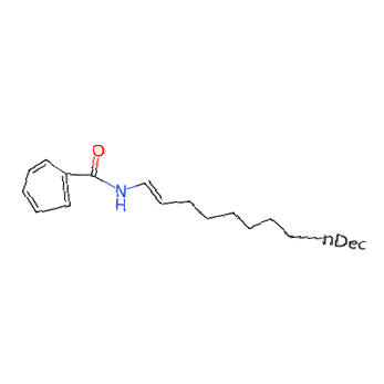 CCCCCCCCCCCCCCCCC=CNC(=O)c1ccccc1